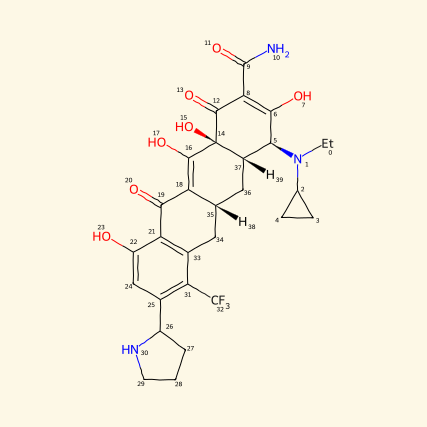 CCN(C1CC1)[C@@H]1C(O)=C(C(N)=O)C(=O)[C@@]2(O)C(O)=C3C(=O)c4c(O)cc(C5CCCN5)c(C(F)(F)F)c4C[C@H]3C[C@@H]12